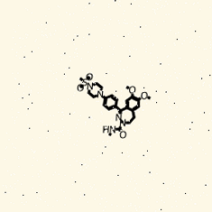 CNC(=O)N1CCc2cc(OC)c(OC)cc2C(c2ccc(N3CCN(S(C)(=O)=O)CC3)cc2)=N1